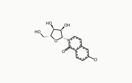 O=c1c2ccc(Cl)cc2ccn1[C@@H]1O[C@H](CO)[C@@H](O)[C@H]1O